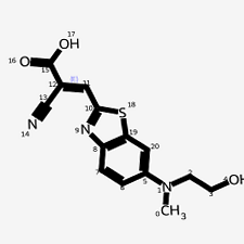 CN(CCO)c1ccc2nc(/C=C(\C#N)C(=O)O)sc2c1